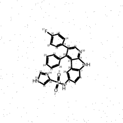 O=S(=O)(Nc1ccc2[nH]c3ncc(-c4ccc(F)cc4)c(-c4ccccc4)c3c2c1)c1c[nH]cn1